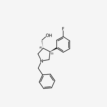 OC[C@H]1CN(Cc2ccccc2)C[C@@H]1c1cccc(F)c1